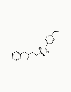 CCc1ccc(-c2nnc(SCC(=O)Cc3ccccc3)[nH]2)cc1